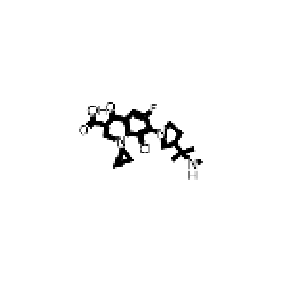 CNC(C)(C)C1CCN(c2c(F)cc3c(=O)c(C(=O)O)cn(C4CC4)c3c2Cl)C1